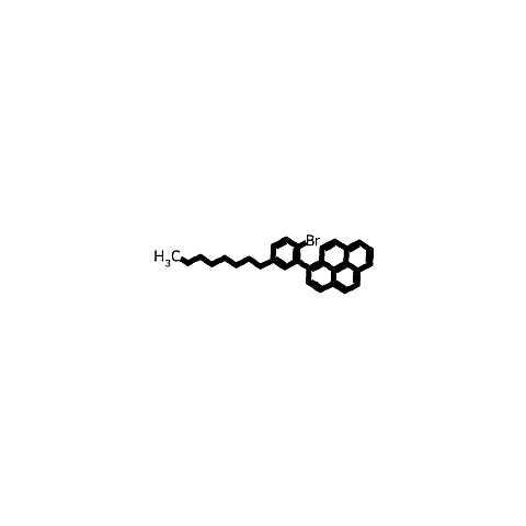 CCCCCCCCc1ccc(Br)c(-c2ccc3ccc4cccc5ccc2c3c45)c1